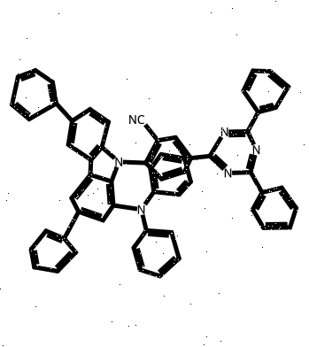 N#Cc1cc(-c2nc(-c3ccccc3)nc(-c3ccccc3)n2)ccc1-n1c2ccc(-c3ccccc3)cc2c2cc(-c3ccccc3)cc(N(c3ccccc3)c3ccccc3)c21